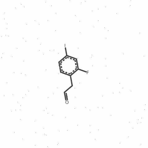 O=CCc1ccc(I)cc1F